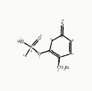 CCOC(=O)C1=C(OP(C)(=O)O)CC(=S)C=C1